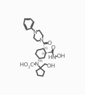 O=C(NO)[C@H]1C[C@H](N(C(=O)O)C2(CO)CCCC2)CC[C@@H]1C(=O)N1CCN(c2ccccc2)CC1